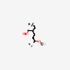 CCC(CO)CCC(C)OC